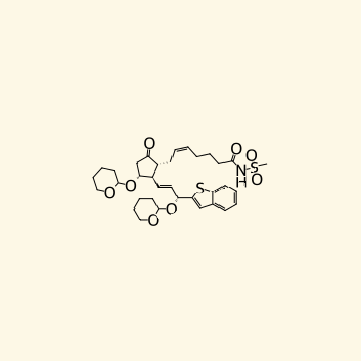 CS(=O)(=O)NC(=O)CCC/C=C\C[C@H]1C(=O)C[C@@H](OC2CCCCO2)[C@@H]1/C=C/[C@@H](OC1CCCCO1)c1cc2ccccc2s1